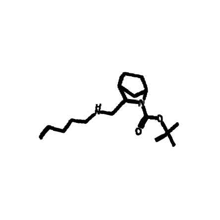 CCCCCNCC1C2CCC(C2)N1C(=O)OC(C)(C)C